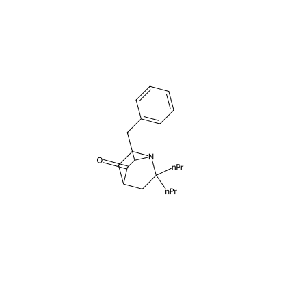 CCCC1(CCC)CC2CCN1C(Cc1ccccc1)C2=O